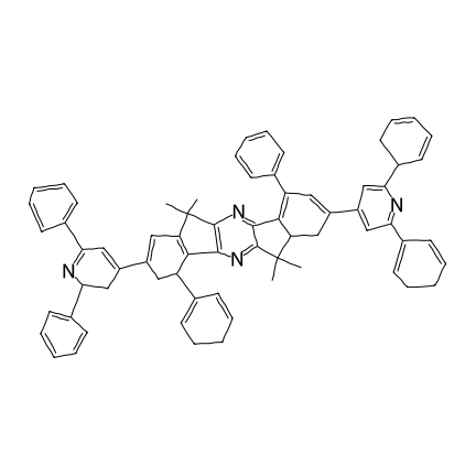 CC1(C)C2=C(c3nc4c(nc31)C1=C(c3ccccc3)C=C(c3cc(C5=CCCC=C5)nc(C5C=CC=CC5)c3)CC1C4(C)C)C(C1=CCCC=C1)CC(C1=CC(c3ccccc3)=NC(c3ccccc3)C1)=C2